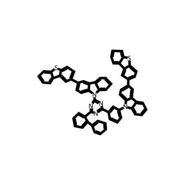 c1ccc(-c2ccccc2-c2nc(-c3cccc(-n4c5ccccc5c5cc(-c6ccc7sc8ccccc8c7c6)ccc54)c3)nc(-n3c4ccccc4c4cc(-c5ccc6sc7ccccc7c6c5)ccc43)n2)cc1